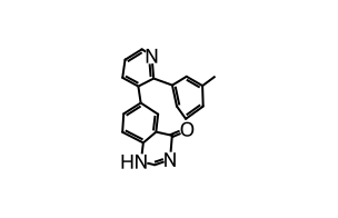 Cc1cccc(-c2ncccc2-c2ccc3[nH]cnc(=O)c3c2)c1